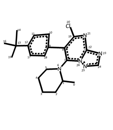 CC1CCCCN1c1c(-c2ccc(C(C)(C)C)cc2)c(Cl)nc2ncnn12